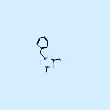 Cc1nc(Cc2ccccc2)nc(CC(C)(C)C)n1